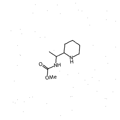 COC(=O)NC(C)C1CCCCN1